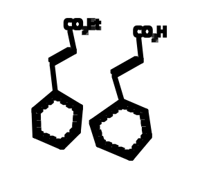 CCOC(=O)C=Cc1ccccc1.O=C(O)C=Cc1ccccc1